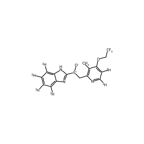 [2H]c1nc(C[S+]([O-])c2nc3c([2H])c([2H])c([2H])c([2H])c3[nH]2)c(C)c(OCC(F)(F)F)c1[2H]